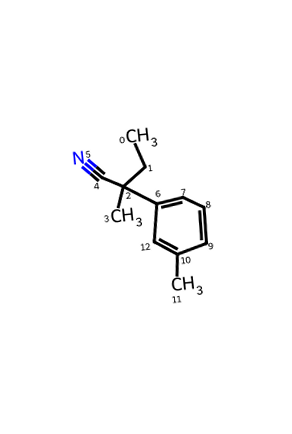 CCC(C)(C#N)c1cccc(C)c1